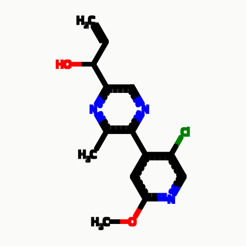 C=CC(O)c1cnc(-c2cc(OC)ncc2Cl)c(C)n1